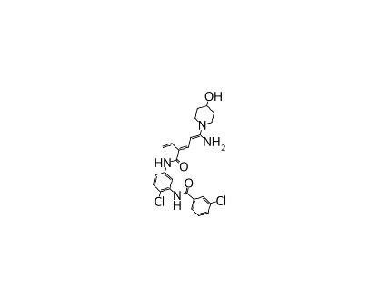 C=C/C(=C\C=C(/N)N1CCC(O)CC1)C(=O)Nc1ccc(Cl)c(NC(=O)c2cccc(Cl)c2)c1